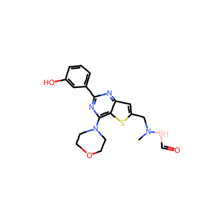 CN(BC=O)Cc1cc2nc(-c3cccc(O)c3)nc(N3CCOCC3)c2s1